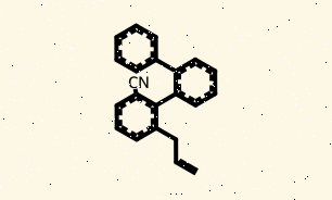 C=CCc1cccc(C#N)c1-c1ccccc1-c1ccccc1